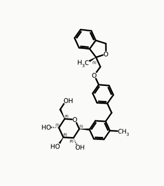 Cc1ccc([C@@H]2O[C@H](CO)[C@@H](O)[C@H](O)[C@H]2O)cc1Cc1ccc(OC[C@@]2(C)OCc3ccccc32)cc1